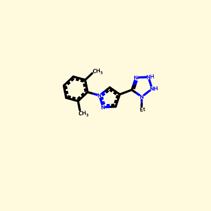 CCN1NNN=C1c1cnn(-c2c(C)cccc2C)c1